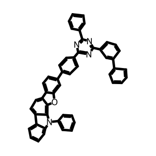 c1ccc(-c2cccc(-c3nc(-c4ccccc4)nc(-c4ccc(-c5ccc6c(c5)oc5c6ccc6c7ccccc7n(-c7ccccc7)c65)cc4)n3)c2)cc1